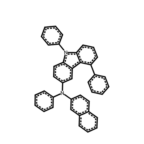 c1ccc(-c2cccc3c2c2cc(N(c4ccccc4)c4ccc5ccccc5c4)ccc2n3-c2ccccc2)cc1